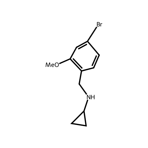 COc1cc(Br)ccc1CNC1CC1